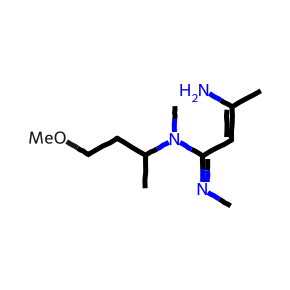 C/N=C(\C=C(\C)N)N(C)C(C)CCOC